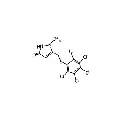 Cn1[nH]c(=O)cc1CSc1c(Cl)c(Cl)c(Cl)c(Cl)c1Cl